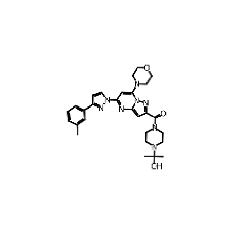 Cc1cccc(-c2ccn(-c3cc(N4CCOCC4)n4nc(C(=O)N5CCN(C(C)(C)O)CC5)cc4n3)n2)c1